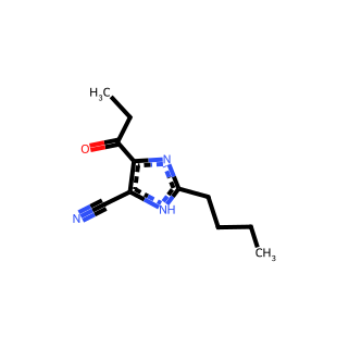 CCCCc1nc(C(=O)CC)c(C#N)[nH]1